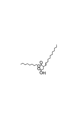 CCCCCCCCCCC=CC(CC(=O)O)C(=O)OCCCCCCCC